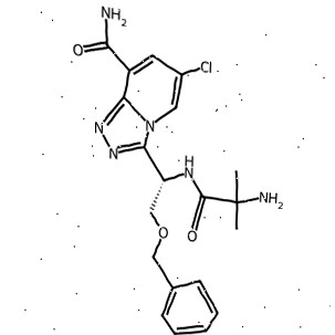 CC(C)(N)C(=O)N[C@H](COCc1ccccc1)c1nnc2c(C(N)=O)cc(Cl)cn12